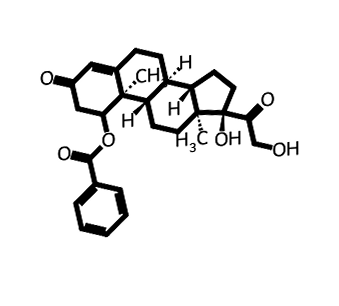 C[C@]12CC[C@H]3[C@@H](CCC4=CC(=O)CC(OC(=O)c5ccccc5)[C@@]43C)[C@@H]1CC[C@]2(O)C(=O)CO